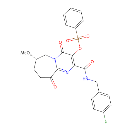 CO[C@H]1CCC(=O)c2nc(C(=O)NCc3ccc(F)cc3)c(OS(=O)(=O)c3ccccc3)c(=O)n2C1